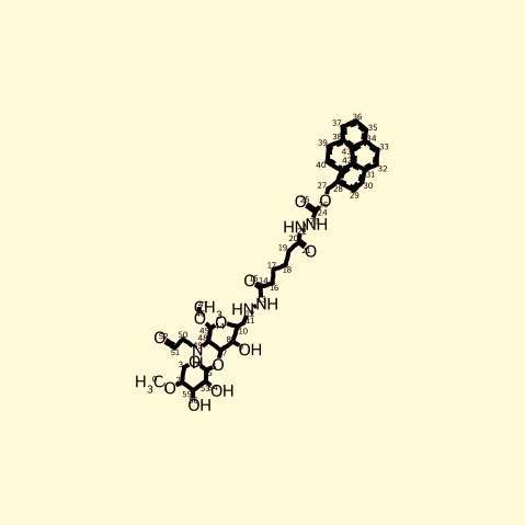 COC1COC(OC2C(O)C(CNNC(=O)CCCCC(=O)NNC(=O)OCc3ccc4ccc5cccc6ccc3c4c56)OC(OC)C2NCC=O)C(O)C1O